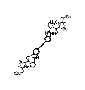 CCC(C)[C@@H](C(=O)N1CCCC1c1nc2cc(C#Cc3ccc4[nH]c([C@@H]5CCCN5C(=O)[C@H](C(C)CC)N(C)C(=O)OC(C)(C)C)nc4c3)ccc2[nH]1)N(C)C(=O)OC(C)(C)C